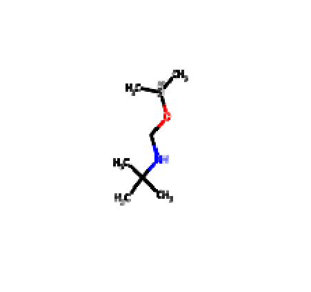 C[SiH](C)OCNC(C)(C)C